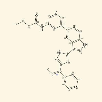 C/C=C(\c1c[nH]c(-c2n[nH]c3ccc(-c4cncc(NC(=O)CCC)c4)cc23)c1)c1ccccn1